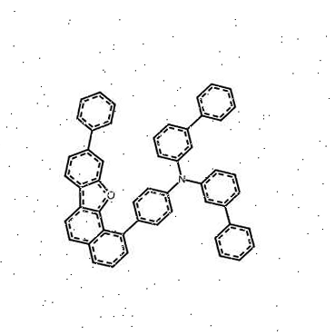 c1ccc(-c2cccc(N(c3ccc(-c4cccc5ccc6c7ccc(-c8ccccc8)cc7oc6c45)cc3)c3cccc(-c4ccccc4)c3)c2)cc1